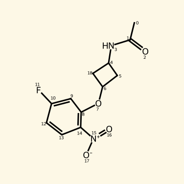 CC(=O)NC1CC(Oc2cc(F)ccc2[N+](=O)[O-])C1